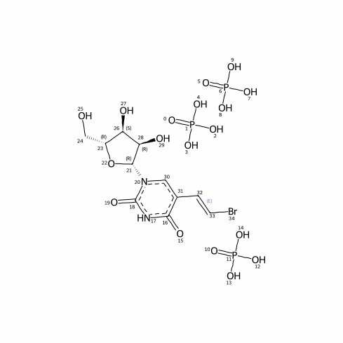 O=P(O)(O)O.O=P(O)(O)O.O=P(O)(O)O.O=c1[nH]c(=O)n([C@@H]2O[C@H](CO)[C@@H](O)[C@H]2O)cc1/C=C/Br